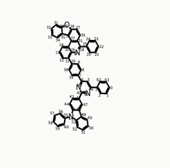 c1ccc(-c2cc(-c3ccc(-c4cccc5c4nc(-c4ccccc4)c4ccc6oc7ccccc7c6c45)cc3)nc(-c3ccc4c(c3)c3ccccc3n4-c3ccccc3)n2)cc1